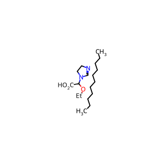 CCCCCCCCCCC.CCOC(C(=O)O)N1C=NCC1